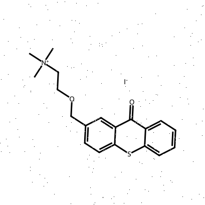 C[N+](C)(C)CCOCc1ccc2sc3ccccc3c(=O)c2c1.[I-]